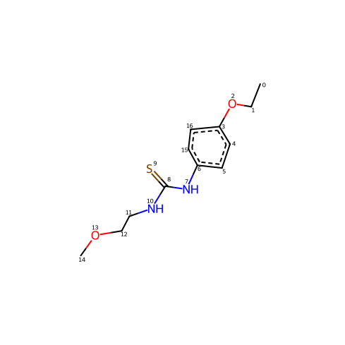 CCOc1ccc(NC(=S)NCCOC)cc1